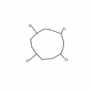 ClC1CCC(Cl)CCN(Cl)CCC(Cl)CC1